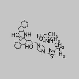 CC(C)c1csc(CN2CCN(C[C@@H](O)C[C@@H](Cc3ccccc3)C(=O)N[C@H]3c4ccccc4C[C@H]3O)[C@H](C(=O)NC(C)(C)C)C2)n1